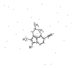 Cc1c(Br)c2ccc(C#N)nc2n1CC(C)C